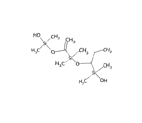 C=C(O[Si](C)(C)O)[Si](C)(C)OC(CC)[Si](C)(C)O